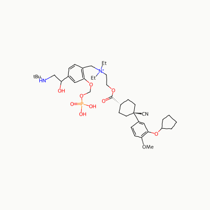 CC[N+](CC)(CCOC(=O)[C@H]1CC[C@@](C#N)(c2ccc(OC)c(OC3CCCC3)c2)CC1)Cc1ccc(C(O)CNC(C)(C)C)cc1OCOP(=O)(O)O